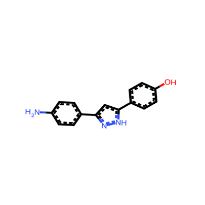 Nc1ccc(-c2cc(-c3ccc(O)cc3)[nH]n2)cc1